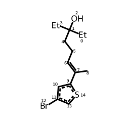 CCC(O)(CC)CCC=C(C)c1cc(Br)cs1